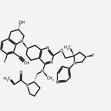 C#Cc1c(F)ccc2c1N([C@@H]1CCc3c(nc(OC[C@]4(C)C[C@@H](F)CN4c4ccncc4)nc3N(C)C[C@@H]3CCCN3C(=O)C=C)C1)C[C@@H](O)C2